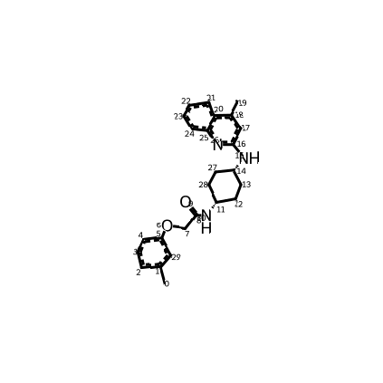 Cc1cccc(OCC(=O)N[C@H]2CC[C@@H](Nc3cc(C)c4ccccc4n3)CC2)c1